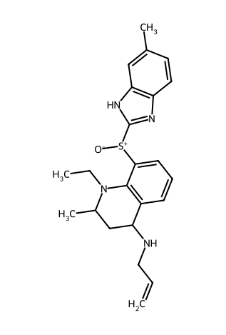 C=CCNC1CC(C)N(CC)c2c1cccc2[S+]([O-])c1nc2ccc(C)cc2[nH]1